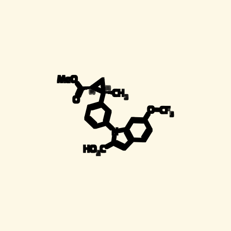 COC(=O)[C@@H]1C[C@@]1(C)c1cccc(-n2c(C(=O)O)cc3ccc(OC(F)(F)F)cc32)c1